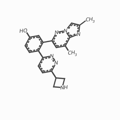 Cc1cn2nc(-c3cc(O)ccc3-c3ccc(C4CNC4)nn3)cc(C)c2n1